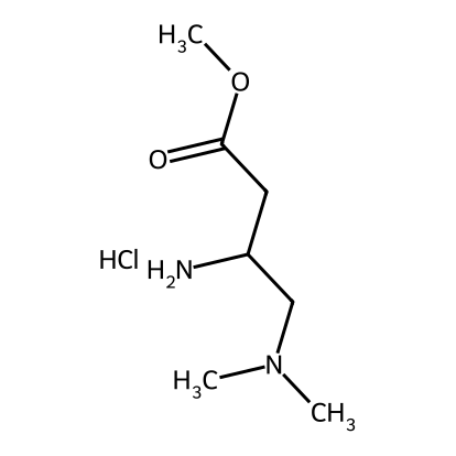 COC(=O)CC(N)CN(C)C.Cl